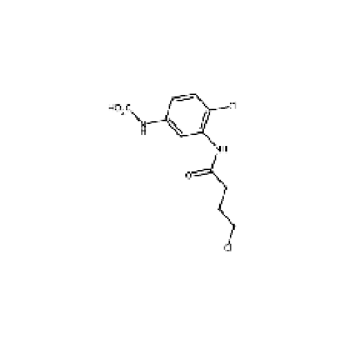 O=C(O)Nc1ccc(Cl)c(NC(=O)CCCCl)c1